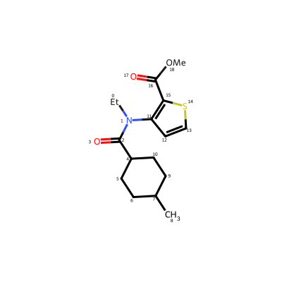 CCN(C(=O)C1CCC(C)CC1)c1ccsc1C(=O)OC